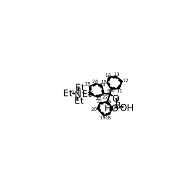 CC[N+](CC)(CC)CC.OB(O)OC(c1ccccc1)(c1ccccc1)c1ccccc1